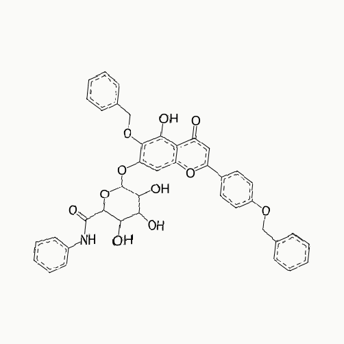 O=C(Nc1ccccc1)C1OC(Oc2cc3oc(-c4ccc(OCc5ccccc5)cc4)cc(=O)c3c(O)c2OCc2ccccc2)C(O)C(O)C1O